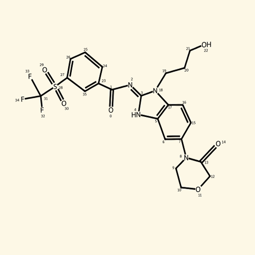 O=C(/N=c1\[nH]c2cc(N3CCOCC3=O)ccc2n1CCCO)c1cccc(S(=O)(=O)C(F)(F)F)c1